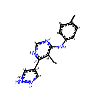 Cc1ccc(Nc2ncnc(-c3cn[nH]c3)c2C)cc1